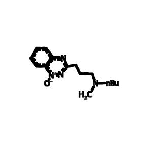 CCCCN(C)CCCc1nc2ccccc2[n+]([O-])n1